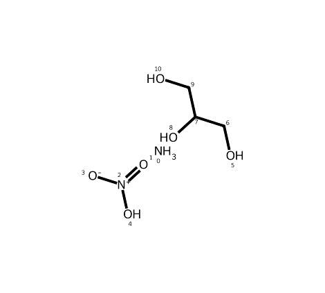 N.O=[N+]([O-])O.OCC(O)CO